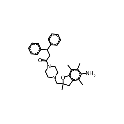 Cc1c(C)c2c(c(C)c1N)CC(C)(CN1CCN(C(=O)CC(c3ccccc3)c3ccccc3)CC1)O2